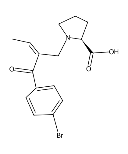 C/C=C(/CN1CCC[C@H]1C(=O)O)C(=O)c1ccc(Br)cc1